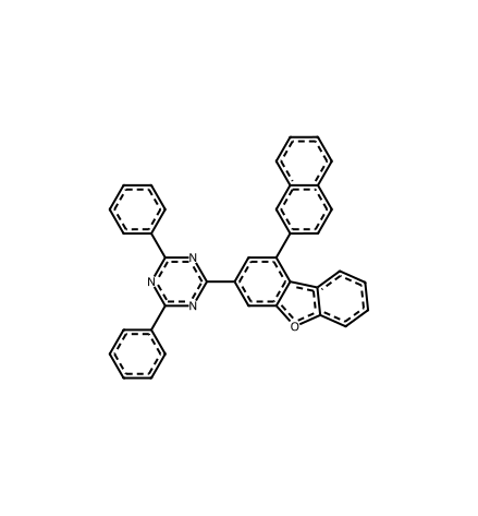 c1ccc(-c2nc(-c3ccccc3)nc(-c3cc(-c4ccc5ccccc5c4)c4c(c3)oc3ccccc34)n2)cc1